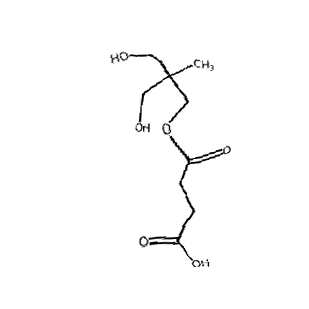 CC(CO)(CO)COC(=O)CCC(=O)O